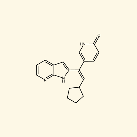 O=c1ccc(/C(=C/C2CCCC2)c2cc3cccnc3[nH]2)c[nH]1